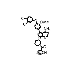 COc1cc(-c2nn(C3CCCN(C(=O)C(C#N)=CC(C)(C)C)C3)c3ncnc(N)c23)ccc1Oc1ccc(Cl)c(Cl)c1